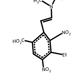 CCc1c([N+](=O)[O-])cc(C(=O)O)c(C=CN(C)C)c1[N+](=O)[O-]